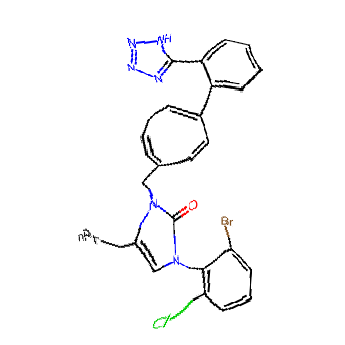 CCCc1cn(-c2c(Cl)cccc2Br)c(=O)n1Cc1ccc(-c2ccccc2-c2nnn[nH]2)cc1